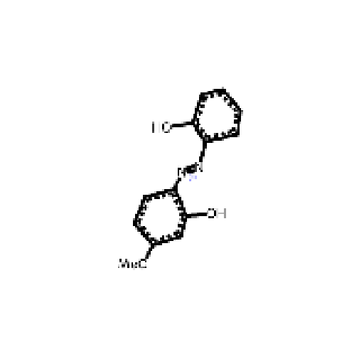 COc1ccc(/N=N/c2ccccc2O)c(O)c1